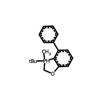 CC(C)(C)[PH]1(C)COc2cccc(-c3ccccc3)c21